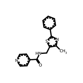 Cc1nc(-c2ccccc2)sc1CNC(=O)c1ccncc1